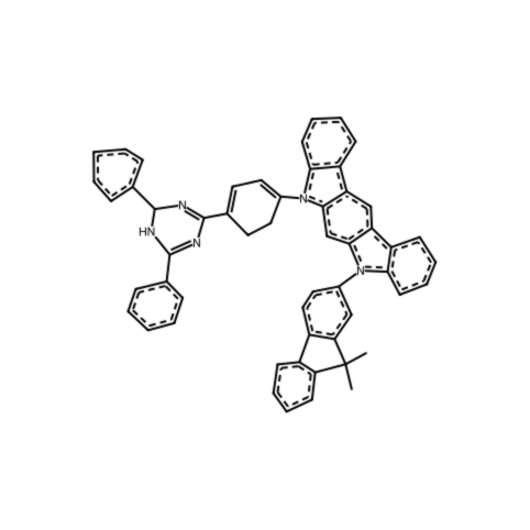 CC1(C)c2ccccc2-c2ccc(-n3c4ccccc4c4cc5c6ccccc6n(C6=CC=C(C7=NC(c8ccccc8)NC(c8ccccc8)=N7)CC6)c5cc43)cc21